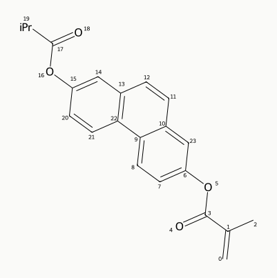 C=C(C)C(=O)Oc1ccc2c(ccc3cc(OC(=O)C(C)C)ccc32)c1